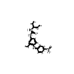 CCc1cc(NC(=O)NC(CC)CC)ccc1Oc1ccc([N+](=O)[O-])cc1